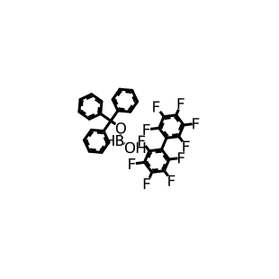 Fc1c(F)c(F)c(-c2c(F)c(F)c(F)c(F)c2F)c(F)c1F.OBOC(c1ccccc1)(c1ccccc1)c1ccccc1